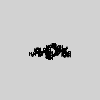 Nc1ncnc2c1ncn2[C@@H]1O[C@@H]2COP(=O)(S)O[C@H]3[C@@H](O)[C@H](n4cc(F)c5c(=O)[nH]cnc54)O[C@@H]3CCOP(=O)(S)O[C@@H]1[C@@H]2O